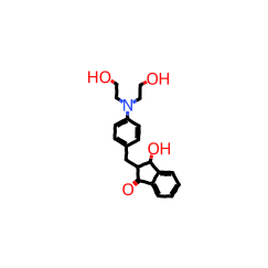 O=C1c2ccccc2C(O)C1Cc1ccc(N(CCO)CCO)cc1